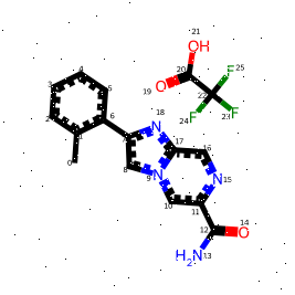 Cc1ccccc1-c1cn2cc(C(N)=O)ncc2n1.O=C(O)C(F)(F)F